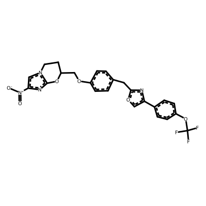 O=[N+]([O-])c1cn2c(n1)OC(COc1ccc(Cc3nc(-c4ccc(OC(F)(F)F)cc4)co3)cc1)CC2